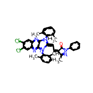 CC1=NN(c2ccccc2)C(=O)/C1=C\C=C1N(c2c(C)cccc2C)c2nc3cc(Cl)c(Cl)cc3nc2N1c1c(C)cccc1C